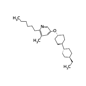 CCCCCCc1ncc(O[C@H]2CC[C@H]([C@H]3CC[C@H](CC)CC3)CC2)cc1C